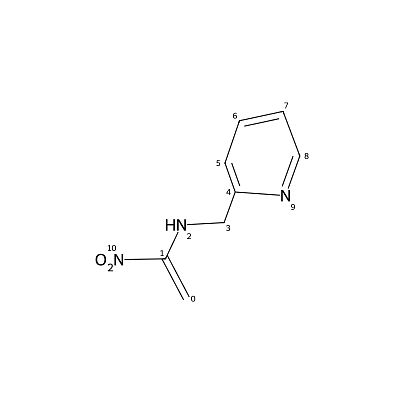 C=C(NCc1ccccn1)[N+](=O)[O-]